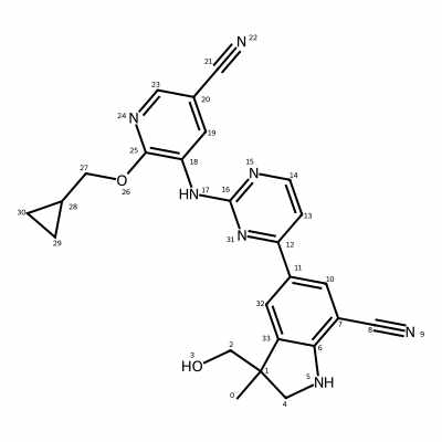 CC1(CO)CNc2c(C#N)cc(-c3ccnc(Nc4cc(C#N)cnc4OCC4CC4)n3)cc21